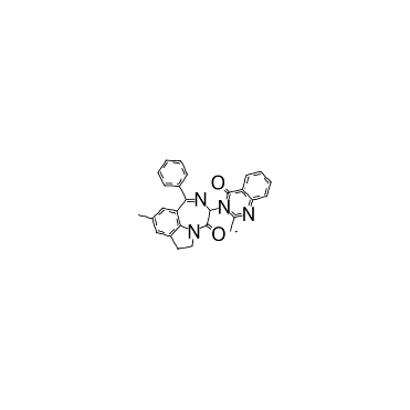 [CH2]c1nc2ccccc2c(=O)n1C1N=C(c2ccccc2)c2cc(C)cc3c2N(CC3)C1=O